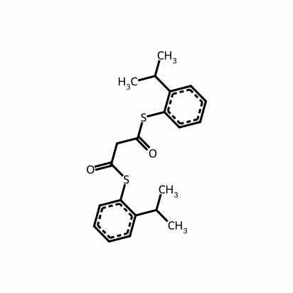 CC(C)c1ccccc1SC(=O)CC(=O)Sc1ccccc1C(C)C